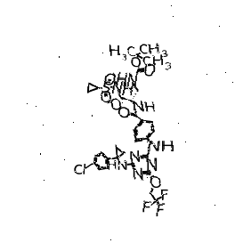 CC(C)(C)OC(=O)NC[C@H](NC(=O)c1ccc(Nc2nc(NC3(c4ccc(Cl)cc4)CC3)nc(OCC(F)(F)F)n2)cc1)C(=O)NS(=O)(=O)C1CC1